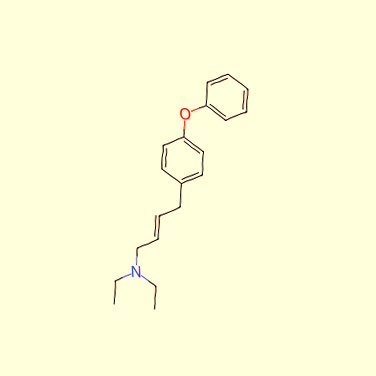 CCN(CC)CC=CCc1ccc(Oc2ccccc2)cc1